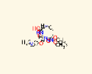 Cn1ccc2cc(O[C@@H]3C[C@H]4C(=O)N[C@]5(C(=O)O)C[C@H]5/C=C\CCCCC[C@H](NC(=O)OC(C)(C)C)C(=O)N4C3)ccc21